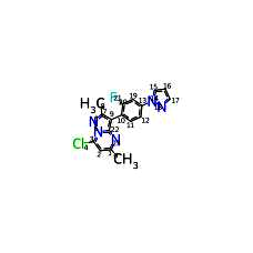 Cc1cc(Cl)n2nc(C)c(-c3ccc(-n4cccn4)cc3F)c2n1